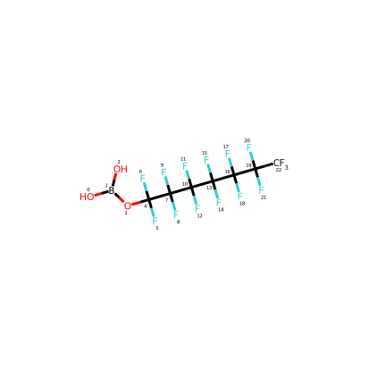 OB(O)OC(F)(F)C(F)(F)C(F)(F)C(F)(F)C(F)(F)C(F)(F)C(F)(F)F